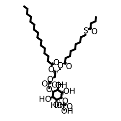 CCCCCCCCCCCCCCCC(=O)O[C@H](COC(=O)CCCCCCCCSC(=O)CCC)COP(=O)(O)OC1C(O)[C@@H](O)C(OP(=O)(O)O)[C@@H](O)[C@H]1O